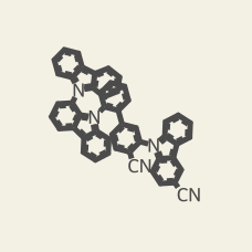 N#Cc1ccc2c(c1)c1ccccc1n2-c1cc(-c2ccccc2-n2c3ccccc3c3cccc(-n4c5ccccc5c5ccccc54)c32)ccc1C#N